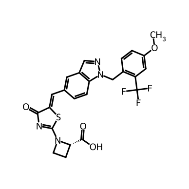 COc1ccc(Cn2ncc3cc(/C=C4\SC(N5CC[C@H]5C(=O)O)=NC4=O)ccc32)c(C(F)(F)F)c1